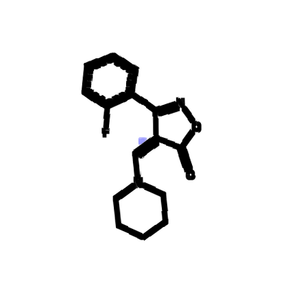 O=C1ON=C(c2ccccc2F)/C1=C/N1CCCCC1